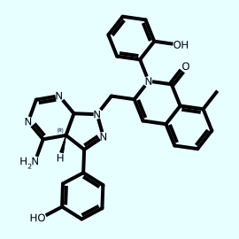 Cc1cccc2cc(CN3N=C(c4cccc(O)c4)[C@@H]4C(N)=NC=NC43)n(-c3ccccc3O)c(=O)c12